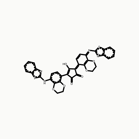 O=C1C(=O)/C(=C2C=C/C(=N/c3nc4ccccc4s3)C3=C/2OCCO3)C(O)=C1c1ccc(Nc2nc3ccccc3s2)c2c1OCCO2